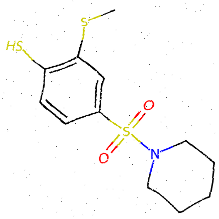 CSc1cc(S(=O)(=O)N2CCCCC2)ccc1S